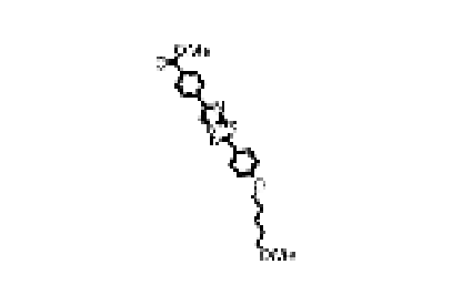 COCCCCCOc1ccc(-c2nn3cc(-c4ccc(C(=O)OC)cc4)nc3s2)cc1